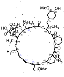 CO[C@H]1C[C@@H]2CC[C@@H](C)[C@@](O)(O2)C(=O)C(=O)N2CCCC[C@H]2C(=O)O[C@H]([C@H](C)C[C@@H]2CC[C@@H](O)[C@H](OC)C2)CC(=O)[C@H](C)/C=C(\C)[C@@H](O)[C@@H](OC)C(=O)[C@H](C)C[C@H](C)/C=C/C=C/C=C/1C.O=C(O)NP(=O)(O)O